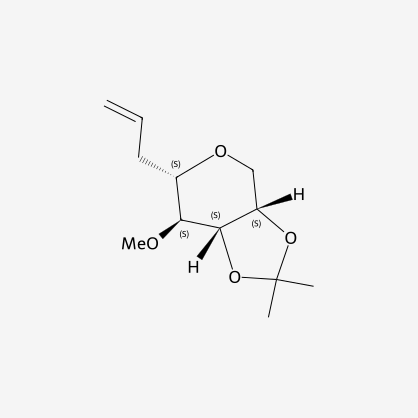 C=CC[C@@H]1OC[C@@H]2OC(C)(C)O[C@@H]2[C@H]1OC